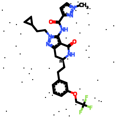 Cn1ccc(C(=O)Nc2c3c(nn2CCC2CC2)C[C@H](CCc2cccc(OCC(F)(F)F)c2)NC3=O)n1